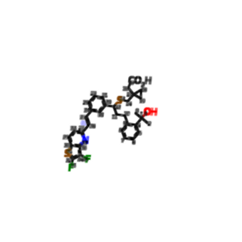 CC(C)(O)c1ccccc1CCC(SCC1(CC(=O)O)CC1)c1cccc(/C=C/c2ccc3sc(F)c(F)c3n2)c1